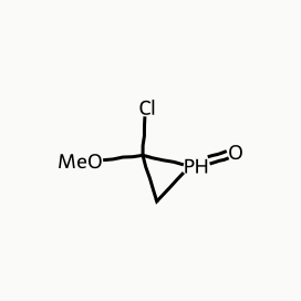 COC1(Cl)C[PH]1=O